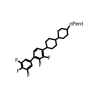 CCCCCC1CCC(C2CCC(c3ccc(-c4cc(F)c(F)c(F)c4)c(F)c3F)CC2)CC1